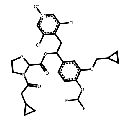 O=C(OC(Cc1c(Cl)c[n+]([O-])cc1Cl)c1ccc(OC(F)F)c(OCC2CC2)c1)C1SCCN1C(=O)CC1CC1